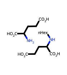 CCCCCCNC(CCC(=O)O)C(=O)O.NC(CCC(=O)O)C(=O)O